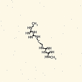 CCNC(=N)NC(=N)NCCCCNC(=N)NC(=N)NC